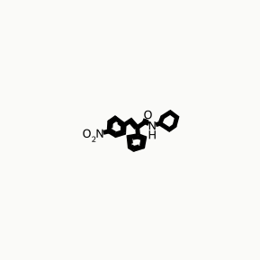 O=C(NC1CCCCC1)/C(=C/c1ccc([N+](=O)[O-])cc1)c1ccccc1